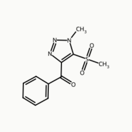 Cn1nnc(C(=O)c2ccccc2)c1S(C)(=O)=O